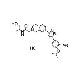 CC(C)Oc1ccc(-c2nc(-c3ccc4c(c3)CN(CC(=O)N[C@@H](C)CO)CC4)no2)cc1C#N.Cl